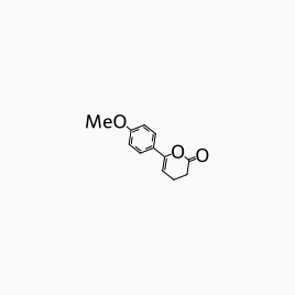 COc1ccc(C2=CCCC(=O)O2)cc1